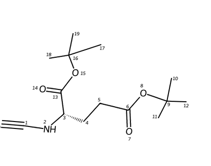 C#CN[C@@H](CCC(=O)OC(C)(C)C)C(=O)OC(C)(C)C